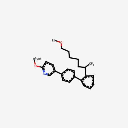 CCCCCOc1ccc(-c2ccc(-c3cc[c]cc3C(CCCCCOCC)C(F)(F)F)cc2)cn1